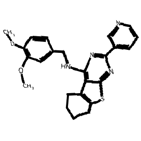 COc1ccc(CNc2nc(-c3cccnc3)nc3sc4c(c23)CCCC4)cc1OC